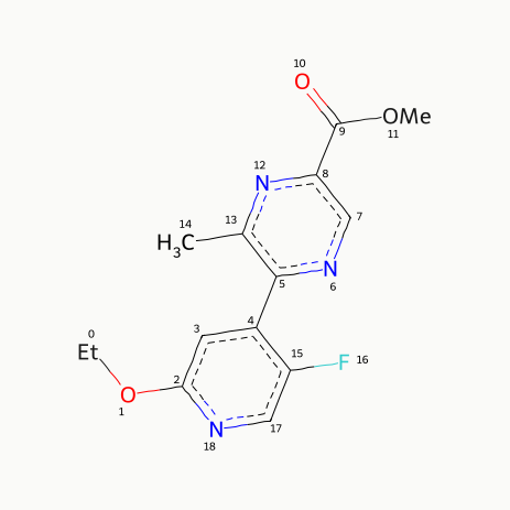 CCOc1cc(-c2ncc(C(=O)OC)nc2C)c(F)cn1